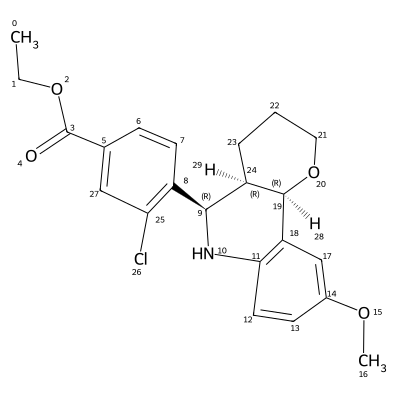 CCOC(=O)c1ccc([C@@H]2Nc3ccc(OC)cc3[C@@H]3OCCC[C@H]23)c(Cl)c1